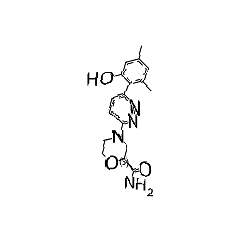 Cc1cc(C)c(-c2ccc(N3CCO[C@H](C(N)=O)C3)nn2)c(O)c1